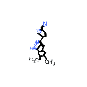 CCc1cc2c(cc1CC)-c1[nH]nc(-c3ccc(C#N)nc3)c1C2